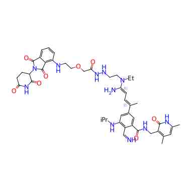 CCN(CCNNC(=O)COCCNc1cccc2c1C(=O)N(C1CCC(=O)NC1=O)C2=O)/C(N)=C/C=C(\C)c1cc(NC(C)C)c(C=N)c(C(=O)NCc2c(C)cc(C)[nH]c2=O)c1